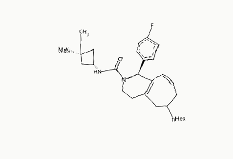 CCCCCCC1CC=CC2=C(CCN(C(=O)N[C@H]3C[C@@](C)(NC)C3)[C@H]2c2ccc(F)cc2)C1